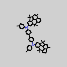 Cc1ccc(N(c2ccc(-c3ccc(N(c4ccc(C)cc4)c4cc5c6c(c4)C(C)(C)c4cccc7c(C)cc(c-6c47)C5(C)C)cc3)cc2)c2cc3c4c(c2)C(C)(C)c2cccc5c(C)cc(c-4c25)C3(C)C)cc1